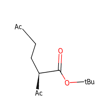 CC(=O)CC[C@H](C(C)=O)C(=O)OC(C)(C)C